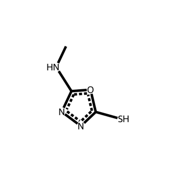 CNc1nnc(S)o1